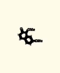 COc1ccc2c(c1)C(OC)C(=O)C=C2